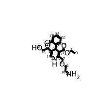 CCOC(=O)C1=C(COCCN)NC=C(C(=O)CO)C1c1ccccc1Cl